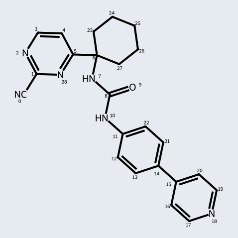 N#Cc1nccc(C2(NC(=O)Nc3ccc(-c4ccncc4)cc3)CCCCC2)n1